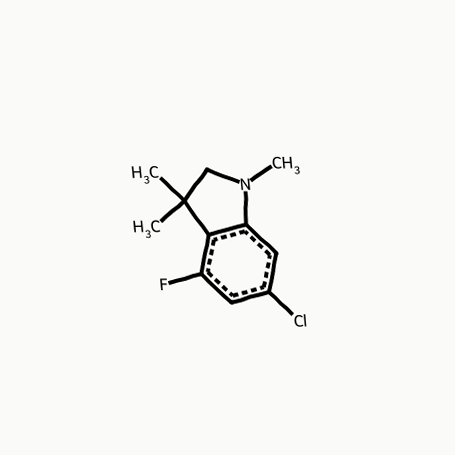 CN1CC(C)(C)c2c(F)cc(Cl)cc21